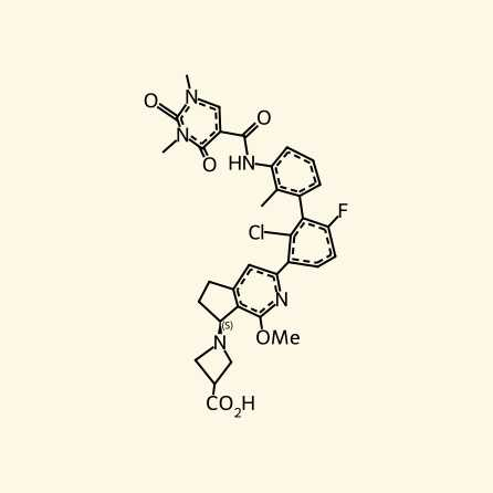 COc1nc(-c2ccc(F)c(-c3cccc(NC(=O)c4cn(C)c(=O)n(C)c4=O)c3C)c2Cl)cc2c1[C@@H](N1CC(C(=O)O)C1)CC2